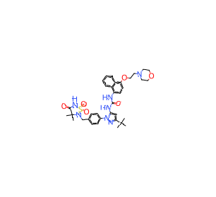 CC(C)(C)c1cc(NC(=O)Nc2ccc(OCCN3CCOCC3)c3ccccc23)n(-c2ccc(CN3C(C)(C)C(=O)NS3(=O)=O)cc2)n1